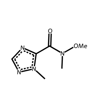 CON(C)C(=O)c1ncnn1C